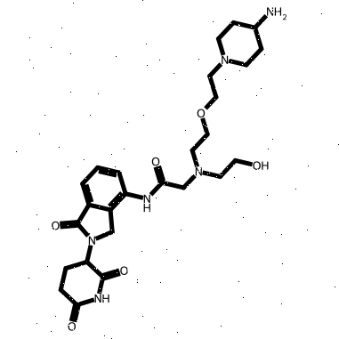 NC1CCN(CCOCCN(CCO)CC(=O)Nc2cccc3c2CN(C2CCC(=O)NC2=O)C3=O)CC1